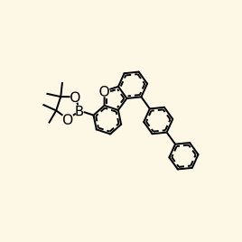 CC1(C)OB(c2cccc3c2oc2cccc(-c4ccc(-c5ccccc5)cc4)c23)OC1(C)C